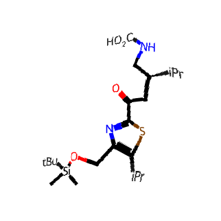 CC(C)c1sc(C(=O)C[C@@H](CNC(=O)O)C(C)C)nc1CO[Si](C)(C)C(C)(C)C